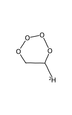 [2H]C1COOOO1